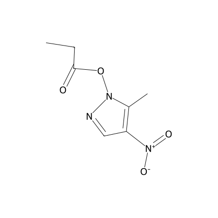 CCC(=O)On1ncc([N+](=O)[O-])c1C